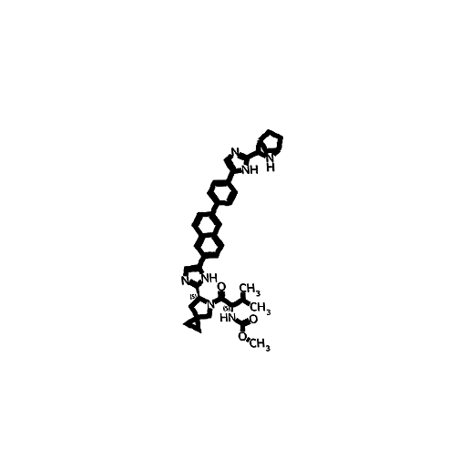 COC(=O)N[C@H](C(=O)N1CC2(CC2)C[C@H]1c1ncc(-c2ccc3cc(-c4ccc(-c5cnc(C6NC7CCC6C7)[nH]5)cc4)ccc3c2)[nH]1)C(C)C